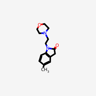 Cc1ccc2c(c1)CC(=O)N2CCN1CCOCC1